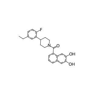 CCc1ccc(F)c(C2CCN(C(=O)c3cccc4cc(O)c(O)cc34)CC2)c1